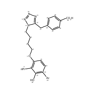 CCCc1c(OCCCCn2nnnc2Cc2ccc(C(=O)O)cc2)ccc(C(C)=O)c1O